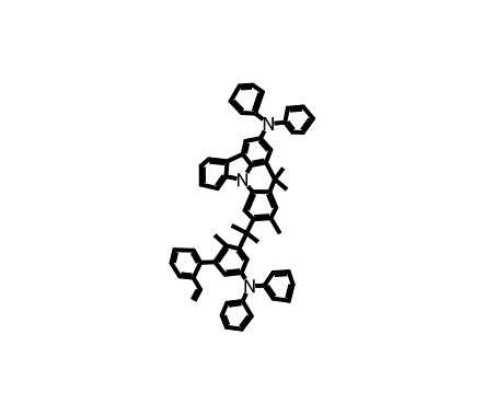 C=Cc1ccccc1-c1cc(N(c2ccccc2)c2ccccc2)cc(C(C)(C)c2cc3c(cc2C)C(C)(C)c2cc(N(c4ccccc4)c4ccccc4)cc4c5ccccc5n-3c24)c1C